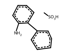 CS(=O)(=O)O.Nc1ccccc1-c1ccccc1